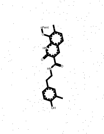 CCCCCOc1c(C)ccc2cc(C(=O)NCCc3ccc(O)c(C)c3)c(=O)[nH]c12